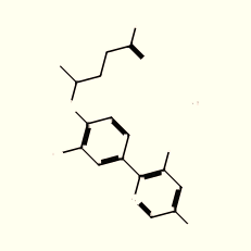 CC(CCC(=O)[O-])Oc1ccc(-c2ncc(Cl)cc2Cl)cc1O.[Na+]